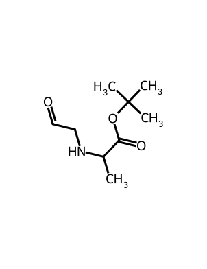 CC(NCC=O)C(=O)OC(C)(C)C